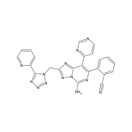 N#Cc1ccccc1-c1nc(N)n2nc(Cn3nnnc3-c3ccccn3)nc2c1-c1ccncn1